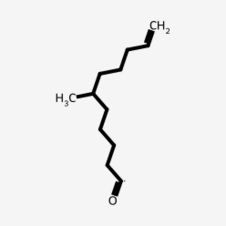 C=CCCCC(C)CCCC[C]=O